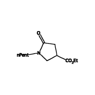 CCCCCN1CC(C(=O)OCC)CC1=O